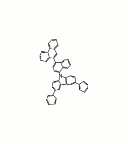 c1ccc(-c2ccc3c(c2)c2cc(-c4ccccc4)ccc2n3-c2ccc(-c3cc4ccccc4c4ccccc34)c3ccccc23)cc1